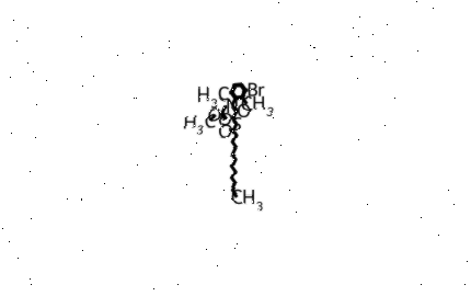 CCCCCCCCCCCC(=O)SCC(=O)N(CC(=O)OC)c1c(C)ccc(Br)c1C